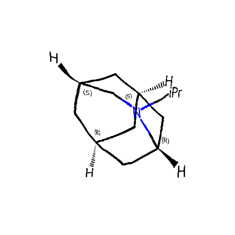 CC(C)N1C[C@@H]2C[C@H]3C[C@@H](C2)C[C@@H]1C3